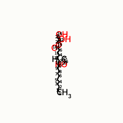 CCCCCCCCCCCCCCCCCC(=O)OCC(O)CO.CCO